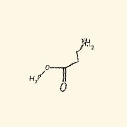 NCCC(=O)OP